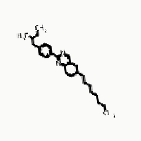 CCCCCCCCC1CCc2nc(-c3ccc(CC(C)CC)cc3)ncc2C1